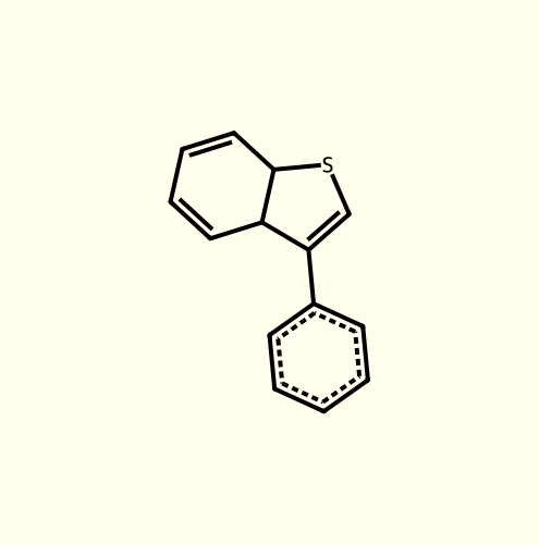 C1=CC2SC=C(c3ccccc3)C2C=C1